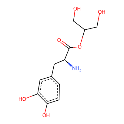 N[C@@H](Cc1ccc(O)c(O)c1)C(=O)OC(CO)CO